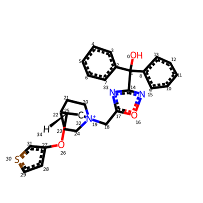 OC(c1ccccc1)(c1ccccc1)c1noc(C[N+]23CCC(CC2)[C@@H](Oc2ccsc2)C3)n1